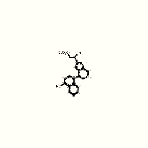 CCOC(=O)CC(C)c1cc2c(-c3ccc(C#N)c4ccccc34)cncc2s1